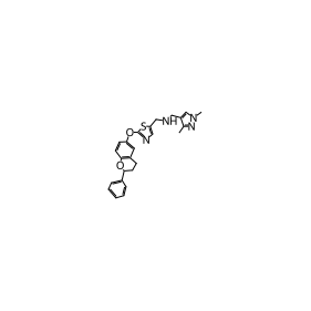 Cc1nn(C)cc1CNCc1cnc(Oc2ccc3c(c2)CCC(c2ccccc2)O3)s1